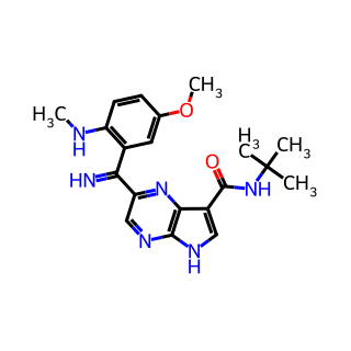 CNc1ccc(OC)cc1C(=N)c1cnc2[nH]cc(C(=O)NC(C)(C)C)c2n1